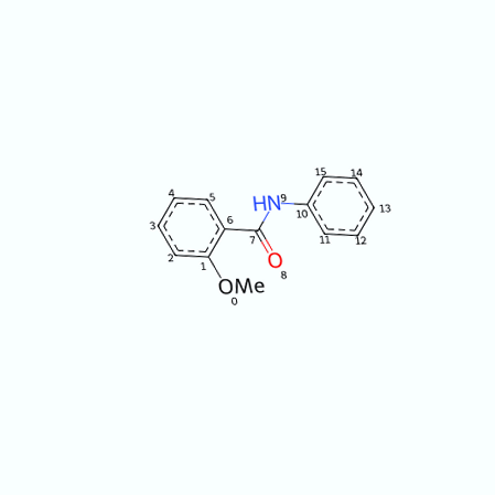 COc1ccccc1C(=O)Nc1ccccc1